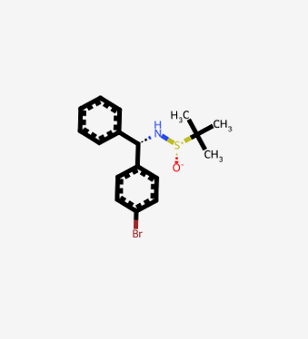 CC(C)(C)[S@+]([O-])N[C@@H](c1ccccc1)c1ccc(Br)cc1